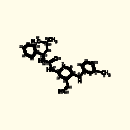 Cc1cc(Nc2cnc(NC(=O)N[C@H](CN(C)C)c3ccccc3)cc2C=N)ccn1